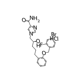 Cl.NC(=O)c1cn(C[C@@H](O)CCCc2ccccc2OCc2ccc(Br)cc2F)cn1